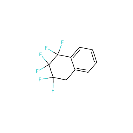 FC1(F)Cc2ccccc2C(F)(F)C1(F)F